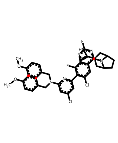 COc1ccc(CN(Cc2ccc(OC)cc2)c2cc(Cl)cc(-c3c(Cl)cc4c(N5C6CCC5CN(C(=O)O)C6)nc(F)nc4c3F)n2)cc1